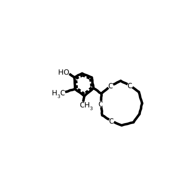 Cc1c(O)ccc(C2CCCCCCCCCCC2)c1C